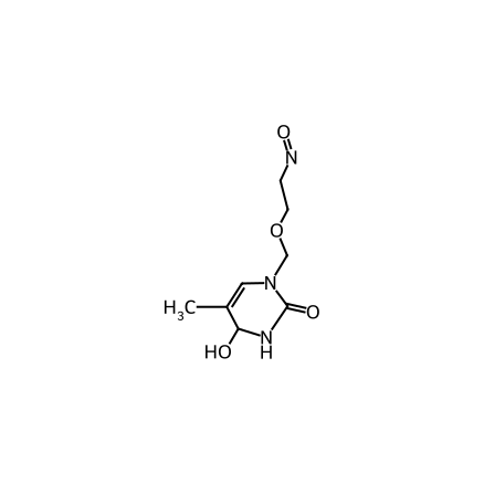 CC1=CN(COCCN=O)C(=O)NC1O